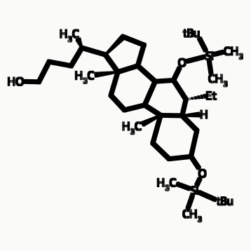 CC[C@H]1C(O[Si](C)(C)C(C)(C)C)C2C3CC[C@H]([C@H](C)CCCO)[C@@]3(C)CCC2[C@@]2(C)CCC(O[Si](C)(C)C(C)(C)C)C[C@@H]12